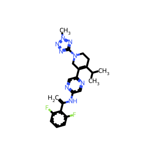 C=C(Nc1cnc(C2=C(C(C)C)CCN(c3nnn(C)n3)C2)cn1)c1c(F)cccc1F